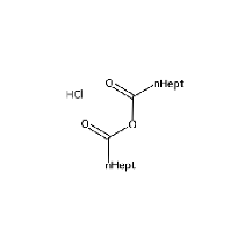 CCCCCCCC(=O)OC(=O)CCCCCCC.Cl